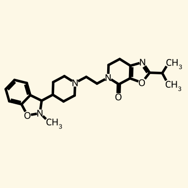 CC(C)c1nc2c(o1)C(=O)N(CCN1CCC(C3c4ccccc4ON3C)CC1)CC2